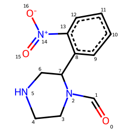 O=CN1CCNCC1c1ccccc1[N+](=O)[O-]